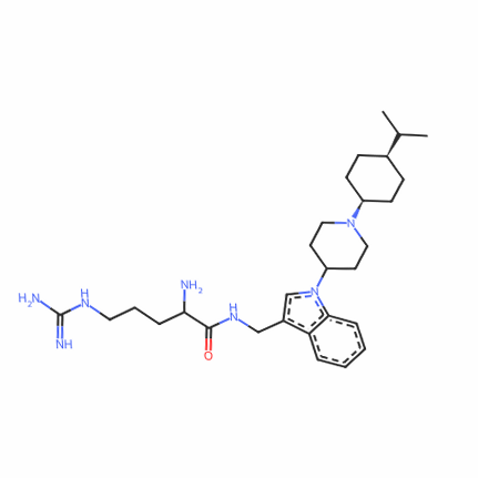 CC(C)[C@H]1CC[C@@H](N2CCC(n3cc(CNC(=O)C(N)CCCNC(=N)N)c4ccccc43)CC2)CC1